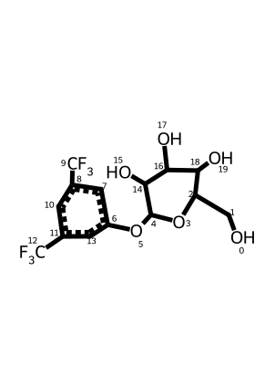 OCC1OC(Oc2cc(C(F)(F)F)cc(C(F)(F)F)c2)C(O)C(O)C1O